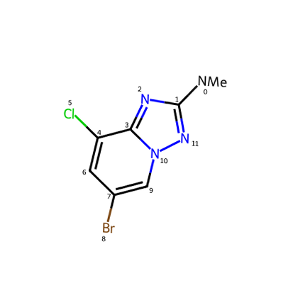 CNc1nc2c(Cl)cc(Br)cn2n1